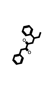 CCC(CC(=O)C(=O)Cc1ccccc1)c1ccccc1